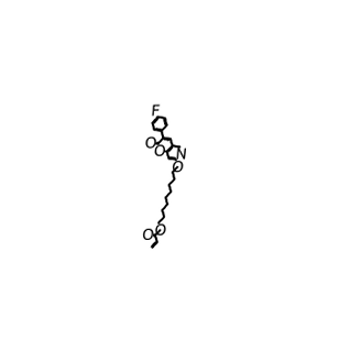 C=CC(=O)OCCCCCCCCCOc1cc2oc(=O)c(-c3ccc(F)cc3)cc2cn1